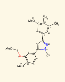 COCOc1cc(-c2cc(-c3cc(C)c(C)c(OC)c3)nn2C(C)=O)ccc1OC